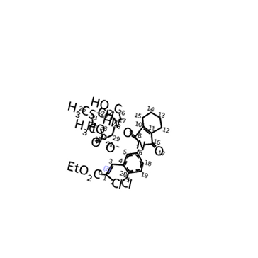 CCOC(=O)/C(Cl)=C/c1cc(N2C(=O)C3=C(CCCC3)C2=O)ccc1Cl.C[S+](C)C.O=C(O)CNCP(=O)([O-])O